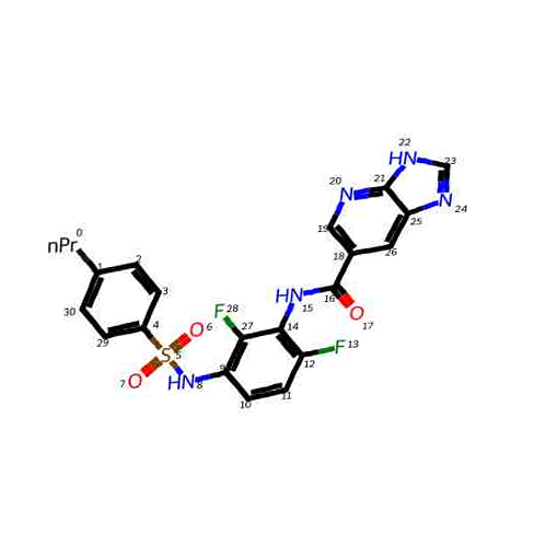 CCCc1ccc(S(=O)(=O)Nc2ccc(F)c(NC(=O)c3cnc4[nH]cnc4c3)c2F)cc1